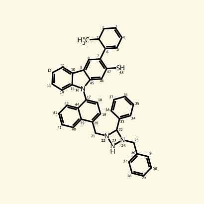 CC1CC=CC=C1c1cc2c3ccccc3n(-c3ccc(CN4NN(Cc5ccccc5)C4c4ccccc4)c4ccccc34)c2cc1S